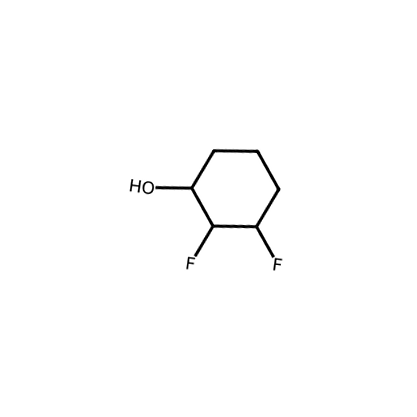 OC1CCCC(F)C1F